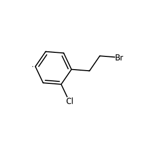 Clc1c[c]ccc1CCBr